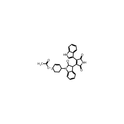 CC(=O)O[C@@H]1C=CC(N2c3ccccc3C(C3=C(c4c[nH]c5ccccc45)C(=O)NC3=O)C2Cl)CC1